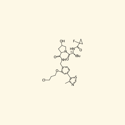 Cc1ncsc1-c1ccc(CNC(=O)C2CC(O)CN2C(=O)[C@@H](NC(=O)C2(F)CC2)C(C)(C)C)c(OCCCCl)c1